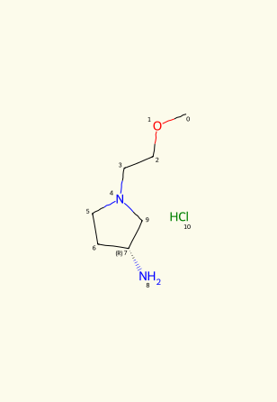 COCCN1CC[C@@H](N)C1.Cl